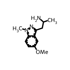 COc1ccc2c(c1)c(CC(C)N)nn2C